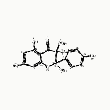 COC1(OC)C(=O)c2c(O)cc(O)cc2O[C@]1(OC)c1ccc(O)cc1